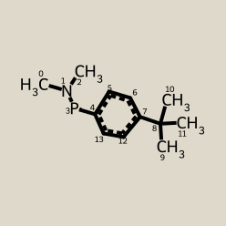 CN(C)[P]c1ccc(C(C)(C)C)cc1